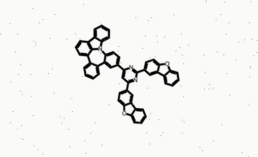 c1ccc2c(c1)-c1cc(-c3cc(-c4ccc5oc6ccccc6c5c4)nc(-c4ccc5oc6ccccc6c5c4)n3)ccc1-n1c3ccccc3c3cccc-2c31